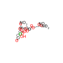 COc1cc(C(=O)OCCCCC(CO[N+](=O)[O-])O[N+](=O)[O-])ccc1OC(=O)OCC(=O)[C@@]1(OC(=O)CCCO[N+](=O)[O-])[C@@H](C)CC2C3CCC4=CC(=O)C=C[C@]4(C)[C@@]3(Cl)[C@@H](O)C[C@@]21C